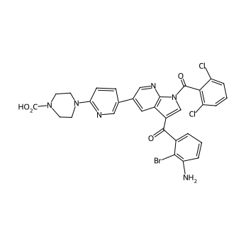 Nc1cccc(C(=O)c2cn(C(=O)c3c(Cl)cccc3Cl)c3ncc(-c4ccc(N5CCN(C(=O)O)CC5)nc4)cc23)c1Br